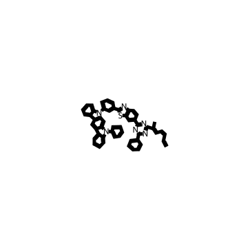 C=C/C=C\C=C(/C)c1nc(-c2ccccc2)nc(-c2ccc3nc(-c4cccc(-n5c6ccccc6c6cc7c8ccccc8n(-c8ccccc8)c7cc65)c4)sc3c2)n1